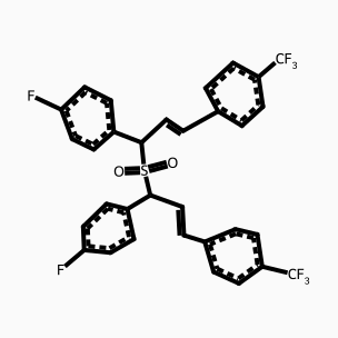 O=S(=O)(C(C=Cc1ccc(C(F)(F)F)cc1)c1ccc(F)cc1)C(C=Cc1ccc(C(F)(F)F)cc1)c1ccc(F)cc1